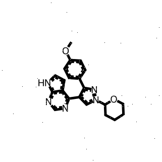 COc1ccc(-c2nn(C3CCCCO3)cc2-c2ncnc3[nH]ccc23)cc1